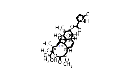 CO[C@H]1C[C@H]2C=C[C@H]3[C@H]4O[C@]2(/C(C)=C/[C@@H](C)[C@@](C)([C@@H](C)O)OC1=O)[C@@H]3[C@H](O)[C@@H](C)[C@H]4OC(=O)c1ccc(Cl)[nH]1